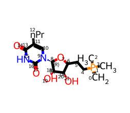 C=P(C)(C)CCC1O[C@@H](n2cc(CCC)c(=O)[nH]c2=O)[C@H](O)[C@@H]1O